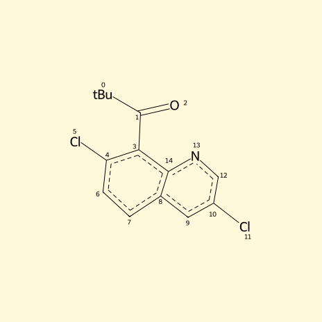 CC(C)(C)C(=O)c1c(Cl)ccc2cc(Cl)cnc12